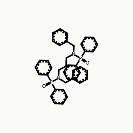 O=P(c1ccccc1)(c1ccccc1)N(CCCN(Cc1ccccc1)P(=O)(c1ccccc1)c1ccccc1)Cc1ccccc1